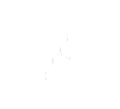 CCCCN(N)CCOC